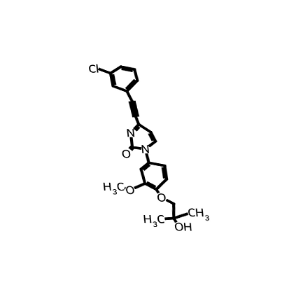 COc1cc(-n2ccc(C#Cc3cccc(Cl)c3)nc2=O)ccc1OCC(C)(C)O